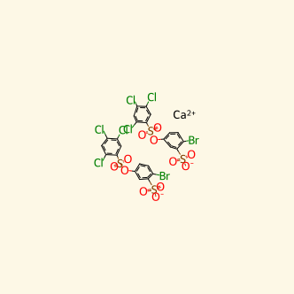 O=S(=O)([O-])c1cc(OS(=O)(=O)c2cc(Cl)c(Cl)cc2Cl)ccc1Br.O=S(=O)([O-])c1cc(OS(=O)(=O)c2cc(Cl)c(Cl)cc2Cl)ccc1Br.[Ca+2]